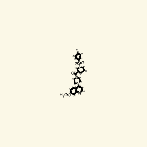 COc1ccc2c(N3CCN(C(=O)C4CCCN(S(=O)(=O)c5ccc(F)cc5)C4)CC3)ccnc2c1